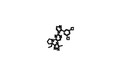 CC[C@@]12CCCN1c1nc(-n3ccnc3-c3cc(Cl)cc(Cl)c3)ncc1-n1c(C)nnc12